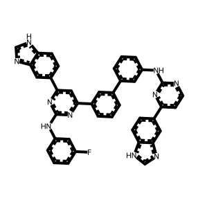 Fc1cccc(Nc2nc(-c3cccc(-c4cccc(Nc5nccc(-c6ccc7[nH]cnc7c6)n5)c4)c3)cc(-c3ccc4[nH]cnc4c3)n2)c1